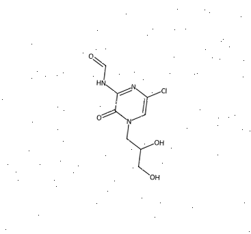 O=CNc1nc(Cl)cn(CC(O)CO)c1=O